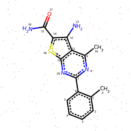 Cc1ccccc1-c1nc(C)c2c(N)c(C(N)=O)sc2n1